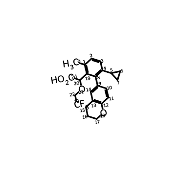 Cc1ccc(C2CC2)c(-c2ccc3c(c2)CCCO3)c1C(OCC(F)(F)F)C(=O)O